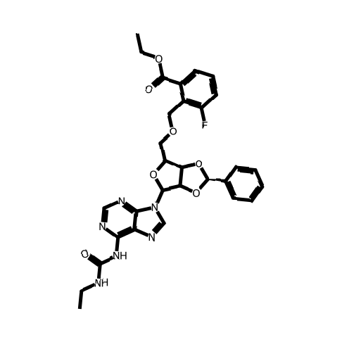 CCNC(=O)Nc1ncnc2c1ncn2C1OC(COCc2c(F)cccc2C(=O)OCC)C2O[C@@H](c3ccccc3)OC21